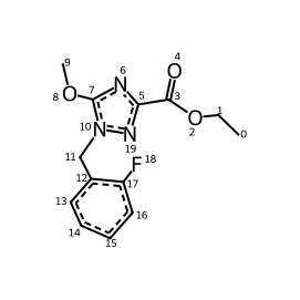 CCOC(=O)c1nc(OC)n(Cc2ccccc2F)n1